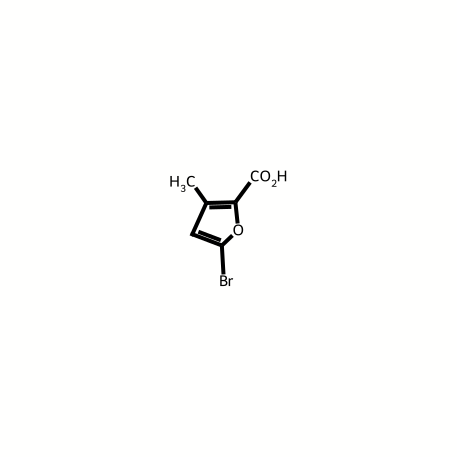 Cc1cc(Br)oc1C(=O)O